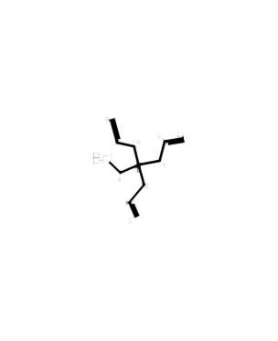 C=CCC(CBr)(CC=C)CC=C